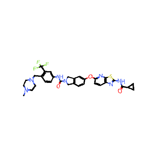 CN1CCN(Cc2ccc(NC(=O)N3Cc4ccc(Oc5ccc6nc(NC(=O)C7CC7)sc6n5)cc4C3)cc2C(F)(F)F)CC1